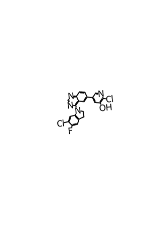 Oc1cc(-c2ccc3ncnc(N4CCc5cc(F)c(Cl)cc54)c3c2)cnc1Cl